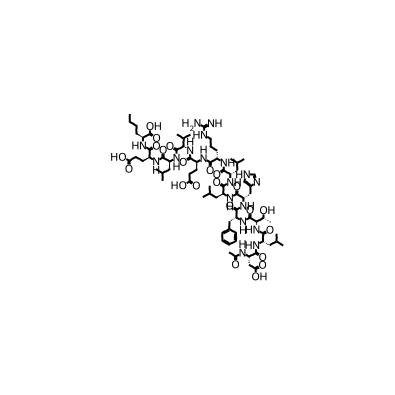 CCCC[C@H](NC(=O)[C@H](CCC(=O)O)NC(=O)[C@H](CC(C)C)NC(=O)[C@@H](NC(=O)[C@H](CCC(=O)O)NC(=O)[C@H](CCCNC(=N)N)NC(=O)[C@H](CC(C)C)NC(=O)[C@H](CC(C)C)NC(=O)[C@H](Cc1c[nH]cn1)NC(=O)[C@@H](Cc1ccccc1)NC(=O)[C@@H](NC(=O)[C@H](CC(C)C)NC(=O)[C@H](CC(=O)O)NC(C)=O)[C@@H](C)O)C(C)C)C(=O)O